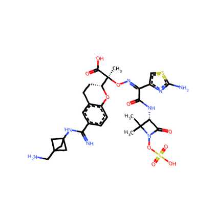 CC1(C)[C@H](NC(=O)/C(=N\O[C@](C)(C(=O)O)[C@H]2CCc3cc(C(=N)NC45CC(CN)(C4)C5)ccc3O2)c2csc(N)n2)C(=O)N1OS(=O)(=O)O